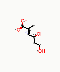 C/C(=C\C(O)CCO)C(=O)O